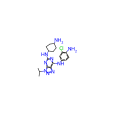 CC(C)n1nnc2c(Nc3ccc(N)c(Cl)c3)nc(NC3CCC(N)CC3)nc21